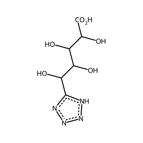 O=C(O)C(O)C(O)C(O)C(O)c1nnn[nH]1